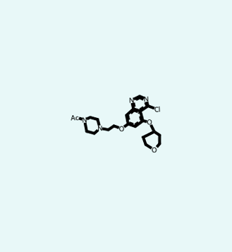 CC(=O)N1CCN(CCOc2cc(OC3CCOCC3)c3c(Cl)ncnc3c2)CC1